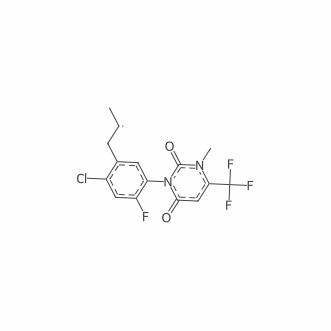 C[CH]Cc1cc(-n2c(=O)cc(C(F)(F)F)n(C)c2=O)c(F)cc1Cl